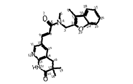 Cc1c(CN(C)C(=O)C=Cc2cnc3c(c2)CC(C)(C)C(=O)N3)oc2ccccc12